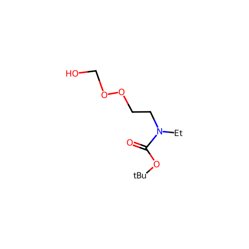 CCN(CCOOCO)C(=O)OC(C)(C)C